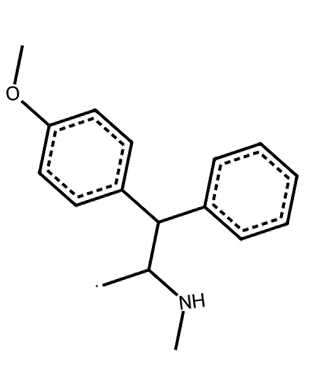 [CH2]C(NC)C(c1ccccc1)c1ccc(OC)cc1